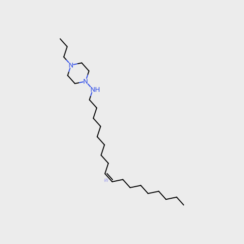 CCCCCCCC/C=C\CCCCCCCCNN1CCN(CCC)CC1